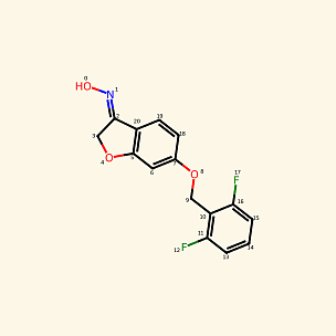 O/N=C1\COc2cc(OCc3c(F)cccc3F)ccc21